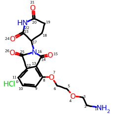 Cl.NCCOCCOc1cccc2c1C(=O)N(C1CCC(=O)NC1=O)C2=O